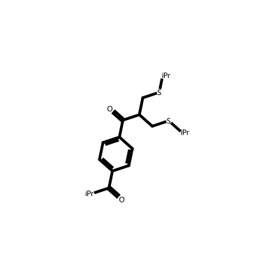 CC(C)SCC(CSC(C)C)C(=O)c1ccc(C(=O)C(C)C)cc1